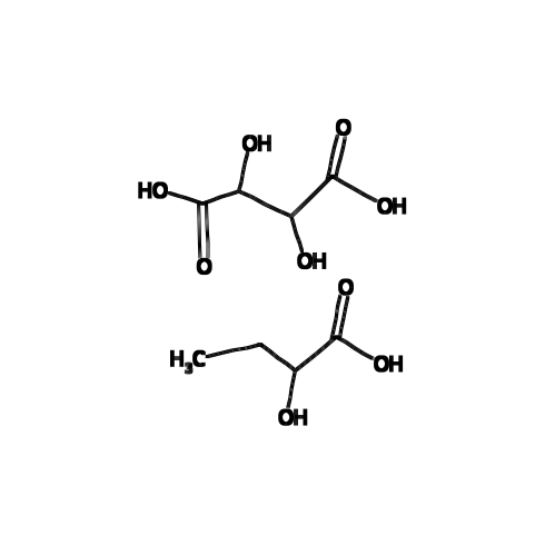 CCC(O)C(=O)O.O=C(O)C(O)C(O)C(=O)O